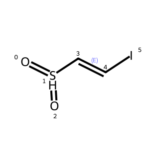 O=[SH](=O)/C=C/I